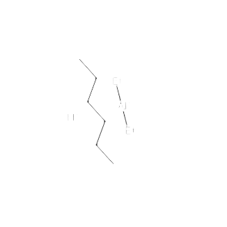 CCCCCC.C[CH2][Al+][CH2]C.[H-]